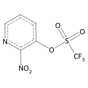 O=[N+]([O-])c1ncccc1OS(=O)(=O)C(F)(F)F